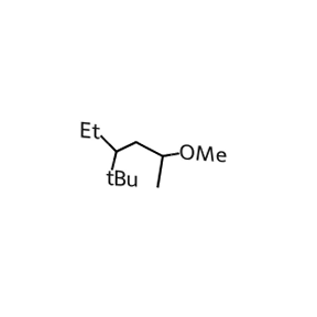 CCC(CC(C)OC)C(C)(C)C